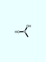 C[Si](O)O